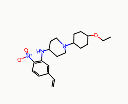 C=Cc1ccc([N+](=O)[O-])c(NC2CCN(C3CCC(OCC)CC3)CC2)c1